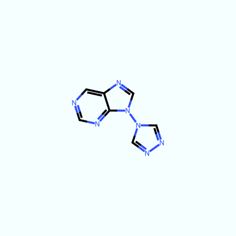 c1ncc2ncn(-n3cnnc3)c2n1